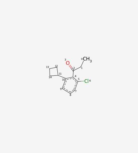 CCC(=O)c1c(Cl)cccc1C1CCC1